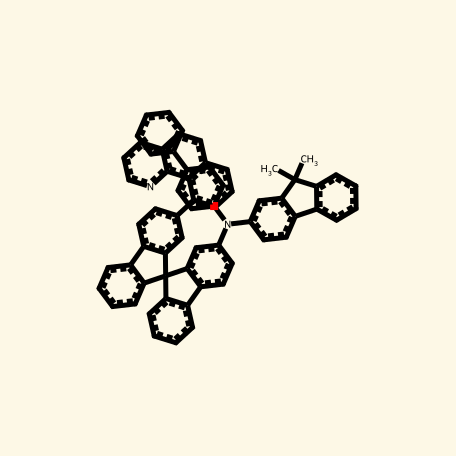 CC1(C)c2ccccc2-c2ccc(N(c3ccc(-c4ccccc4)cc3)c3ccc4c(c3)C3(c5ccccc5-c5ccc(-c6cccc7ccc8cccnc8c67)cc53)c3ccccc3-4)cc21